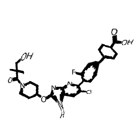 CC(C)(CO)C(=O)N1CCC(Oc2nc3nc(-c4ccc(C5=CCC(C(=O)O)CC5)cc4F)c(Cl)cc3[nH]2)CC1